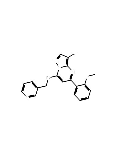 COc1ccccc1-c1cc(NCc2cccnc2)n2ncc(Br)c2n1